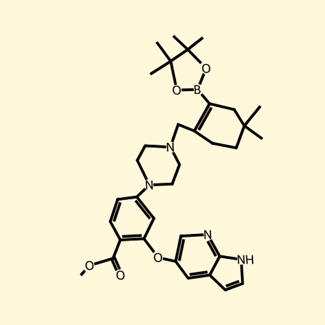 COC(=O)c1ccc(N2CCN(CC3=C(B4OC(C)(C)C(C)(C)O4)CC(C)(C)CC3)CC2)cc1Oc1cnc2[nH]ccc2c1